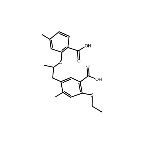 CCSc1cc(C)c(CC(C)Sc2cc(C)ccc2C(=O)O)cc1C(=O)O